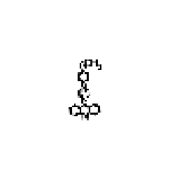 COc1ccc(N2CCN(c3c4ccccc4nc4ccccc34)CC2)cc1